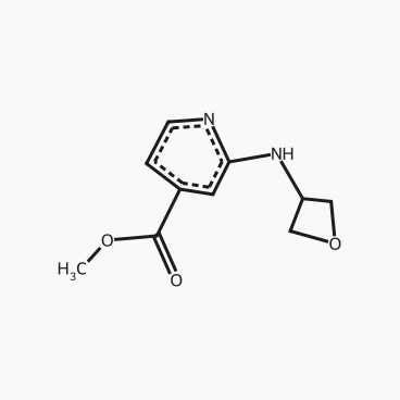 COC(=O)c1ccnc(NC2COC2)c1